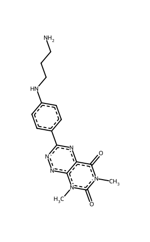 Cn1c(=O)c2nc(-c3ccc(NCCCN)cc3)nnc2n(C)c1=O